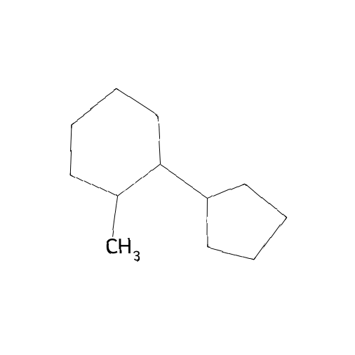 CC1CCCCC1C1CCCC1